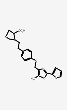 Cc1oc(-c2cccs2)nc1COc1ccc(CCN2CSCC2C(=O)O)cc1